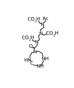 CC(=O)CN(CCN(CCN(CC(=O)O)CC(=O)N1CCNCCNCCNCC1)CC(=O)O)CC(=O)O